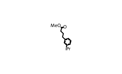 COC(=O)CCCc1cccc(C(C)C)c1